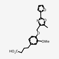 COc1cc(CCCC(=O)O)ccc1OCc1nc(-c2ccco2)oc1C